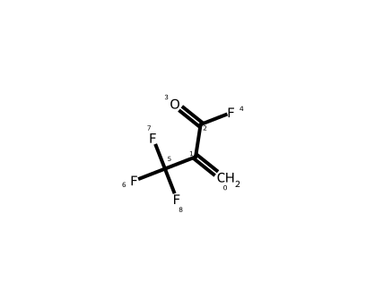 C=C(C(=O)F)C(F)(F)F